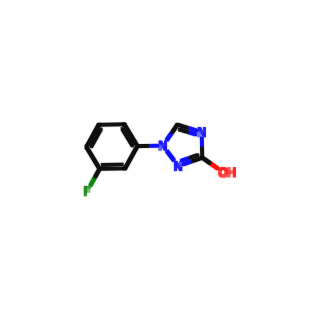 Oc1ncn(-c2cccc(F)c2)n1